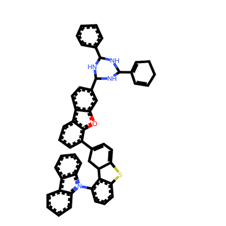 C1=CC(C2NC(c3ccccc3)NC(c3ccc4c(c3)oc3c(C5=CC=C6Sc7cccc(-n8c9ccccc9c9ccccc98)c7C6C5)cccc34)N2)=CCC1